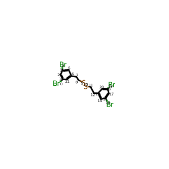 Brc1cc(Br)cc(CCSSCCc2cc(Br)cc(Br)c2)c1